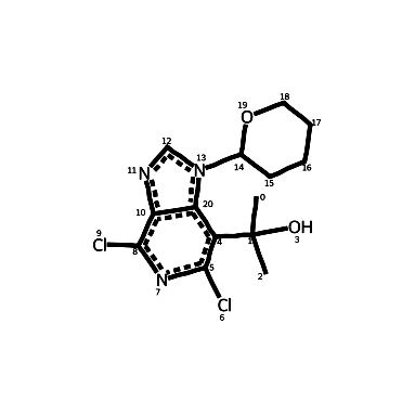 CC(C)(O)c1c(Cl)nc(Cl)c2ncn(C3CCCCO3)c12